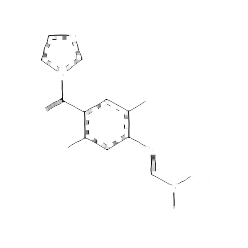 CCN(C)/C=N/c1cc(C)c(C(=O)n2ccnc2)cc1C